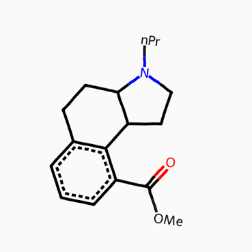 CCCN1CCC2c3c(cccc3C(=O)OC)CCC21